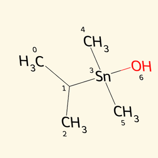 C[CH](C)[Sn]([CH3])([CH3])[OH]